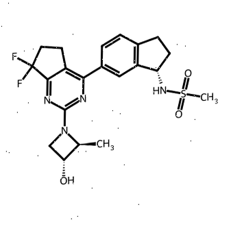 C[C@H]1[C@H](O)CN1c1nc(-c2ccc3c(c2)[C@@H](NS(C)(=O)=O)CC3)c2c(n1)C(F)(F)CC2